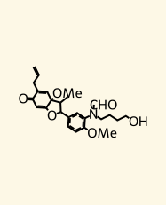 C=CCC1=CC2(OC)C(=CC1=O)OC(c1ccc(OC)c(N(C=O)CCCCO)c1)C2C